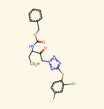 O=C(O)CC(NC(=O)OCc1ccccc1)C(=O)Cn1nnc(Sc2ccc(F)cc2Cl)n1